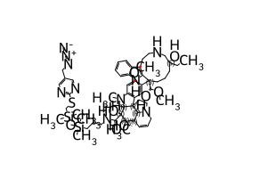 CC[C@]1(O)CCC[C@](C(=O)OC)(c2cc3c(cc2OC)N(C)[C@H]2[C@@](O)(C(=O)NCCC[Si](C)(C)O[Si](C)(C)CSc4ncc(CN=[N+]=[N-])cn4)[C@H](O)[C@]4(CC)C=CCN5CC[C@]32[C@@H]54)c2[nH]c3ccccc3c2CCNC1